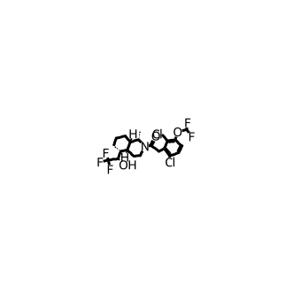 C[C@H]1[C@H]2CCC[C@@H]([C@H](O)C(F)(F)F)[C@@H]2CCN1C(=O)Cc1c(Cl)ccc(OC(F)F)c1Cl